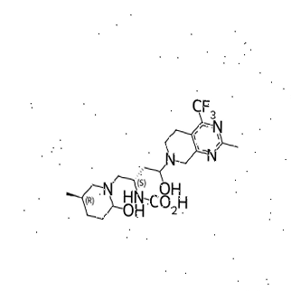 Cc1nc2c(c(C(F)(F)F)n1)CCN(C(O)C[C@@H](CN1C[C@H](C)CCC1O)NC(=O)O)C2